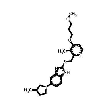 COCCCOc1ccnc(CSc2nc3cc(N4CCC(C)C4)ccc3[nH]2)c1C